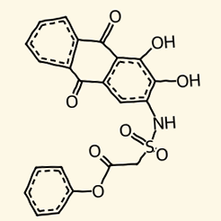 O=C(CS(=O)(=O)Nc1cc2c(c(O)c1O)C(=O)c1ccccc1C2=O)Oc1ccccc1